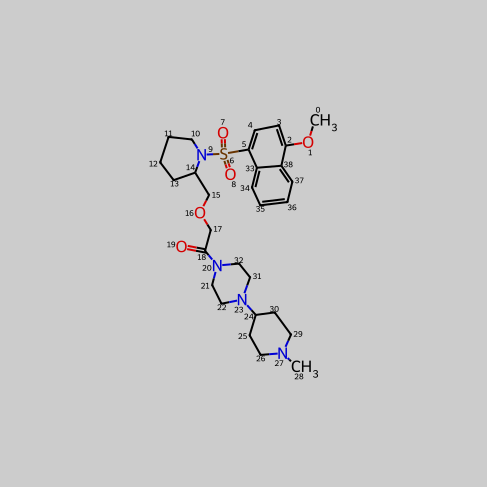 COc1ccc(S(=O)(=O)N2CCCCC2COCC(=O)N2CCN(C3CCN(C)CC3)CC2)c2ccccc12